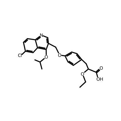 CCOC(Cc1ccc(OCc2cnc3ccc(Cl)cc3c2OC(C)C)cc1)C(=O)O